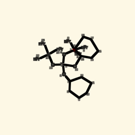 CCC[Si](CCC)(CCC)[O][Ti]([O]C1CCCCC1)([O]C1CCCCC1)[O][Si](CCC)(CCC)CCC